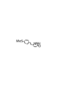 CSc1ccc(C=Cc2ccc(=O)[nH]n2)cc1